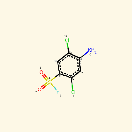 Nc1cc(Cl)c(S(=O)(=O)F)cc1Cl